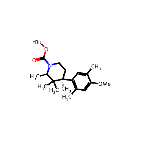 COc1cc(C)c([C@]2(C)CCN(C(=O)OC(C)(C)C)[C@H](C)C2(C)C)cc1C